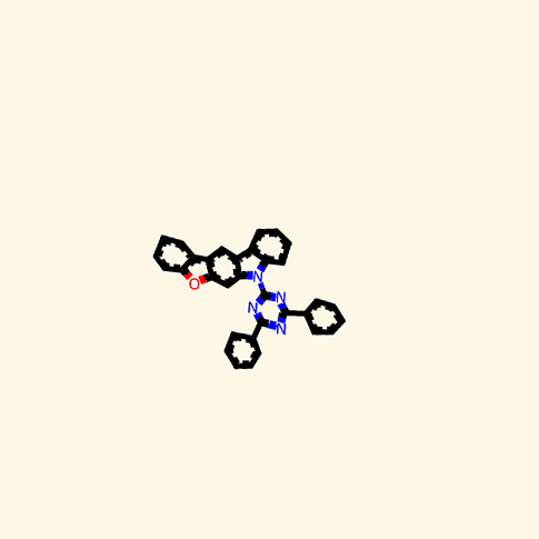 c1ccc(-c2nc(-c3ccccc3)nc(-n3c4ccccc4c4cc5c(cc43)oc3ccccc35)n2)cc1